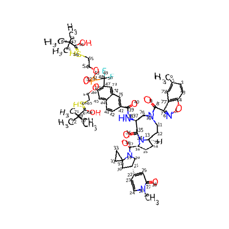 Cc1ccc2onc(C(=O)N3CC[C@H]4CC[C@@H](C(=O)N5C[C@H](c6ccn(C)c(=O)c6)CC56CC6)N4C(=O)[C@@H](NC(=O)c4ccc5ccc(C(F)(F)P(=O)(OCC[SH]=C(O)C(C)(C)C)OCC[SH]=C(O)C(C)(C)C)cc5c4)C3)c2c1